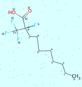 CCCCCCCC[C@@](F)(C(=O)O)C(F)(F)F